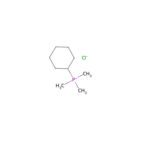 C[P+](C)(C)C1CCCCC1.[Cl-]